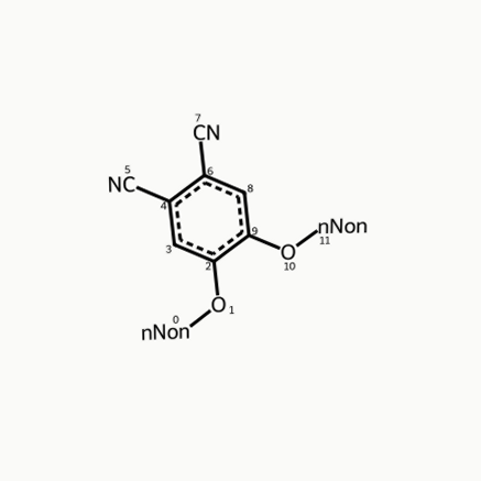 CCCCCCCCCOc1cc(C#N)c(C#N)cc1OCCCCCCCCC